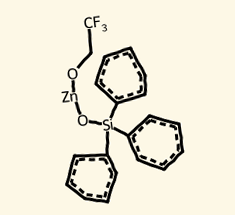 FC(F)(F)C[O][Zn][O][Si](c1ccccc1)(c1ccccc1)c1ccccc1